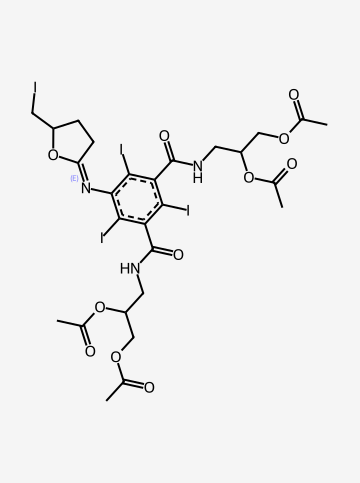 CC(=O)OCC(CNC(=O)c1c(I)c(/N=C2\CCC(CI)O2)c(I)c(C(=O)NCC(COC(C)=O)OC(C)=O)c1I)OC(C)=O